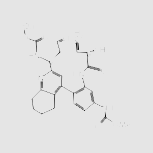 C=CC[C@H](NC(=O)OC(C)(C)C)c1cc(-c2ccc(NC(=O)OC)cc2NC(=O)[C@H](C)C=C)c2c(n1)CCCC2